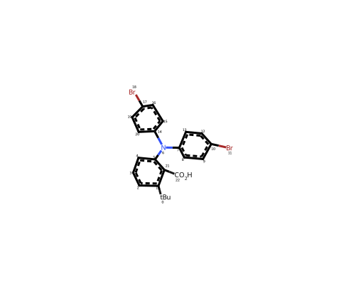 CC(C)(C)c1cccc(N(c2ccc(Br)cc2)c2ccc(Br)cc2)c1C(=O)O